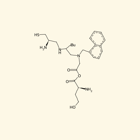 CCC(C)C(CN(CC(=O)OC(=O)[C@@H](N)CCO)Cc1cccc2ccccc12)NC[C@@H](N)CS